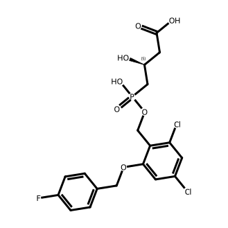 O=C(O)C[C@H](O)CP(=O)(O)OCc1c(Cl)cc(Cl)cc1OCc1ccc(F)cc1